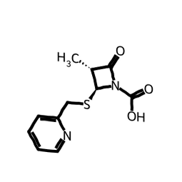 C[C@@H]1C(=O)N(C(=O)O)[C@H]1SCc1ccccn1